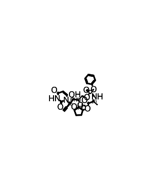 C#C[C@@](O)([C@H](O)[C@@H](COP(=O)(N[C@@H](C)C(=O)OC1CCCC1)Oc1ccccc1)OC)n1ccc(=O)[nH]c1=O